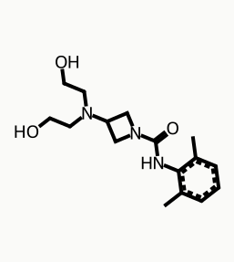 Cc1cccc(C)c1NC(=O)N1CC(N(CCO)CCO)C1